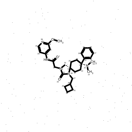 COc1cc(NC(=O)CN2C[C@]3(CC[C@@](c4ccccc4)(N(C)C)CC3)N(CC3CCC3)C2=O)ccn1